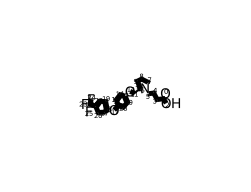 O=C(O)CCCN1CCC[C@@H]1COc1ccc(OC2=CC=C(C(F)(F)F)CC2)cc1